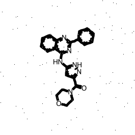 O=C(c1cc(Nc2nc(-c3ccccc3)nc3ccccc23)[nH]n1)N1CCOCC1